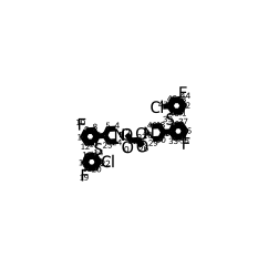 O=C(ON1CCC(c2cc(F)ccc2Sc2ccc(F)cc2Cl)CC1)C(=O)ON1CCC(c2cc(F)ccc2Sc2ccc(F)cc2Cl)CC1